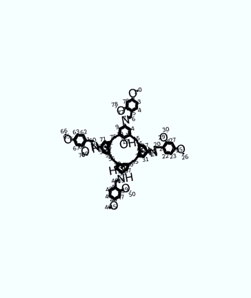 COc1ccc(/C=N/c2cc3c(O)c(c2)Cc2cc(/N=C/c4ccc(OC)cc4OC)cc(c2O)Cc2cc(NCc4ccc(OC)cc4OC)cc(c2O)Cc2cc(/N=C/c4ccc(OC)cc4OC)cc(c2O)C3)c(OC)c1